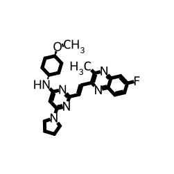 CO[C@H]1CC[C@H](Nc2cc(N3CCCC3)nc(C=Cc3nc4ccc(F)cc4nc3C)n2)CC1